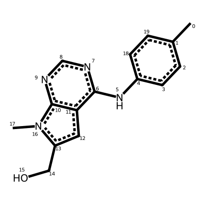 Cc1ccc(Nc2ncnc3c2cc(CO)n3C)cc1